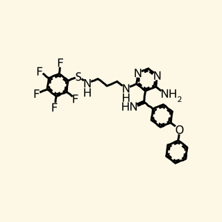 N=C(c1ccc(Oc2ccccc2)cc1)c1c(N)ncnc1NCCCNSc1c(F)c(F)c(F)c(F)c1F